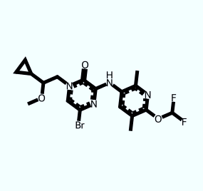 COC(Cn1cc(Br)nc(Nc2cc(C)c(OC(F)F)nc2C)c1=O)C1CC1